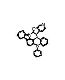 c1ccc(N2c3ccccc3B3c4c2ccc2c5ccccc5n(c42)C2Oc4cnccc4C32)cc1